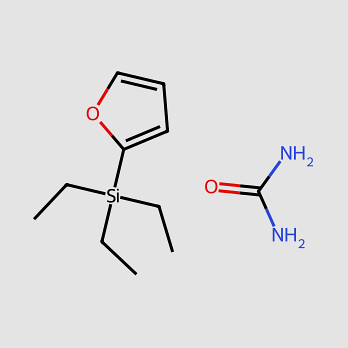 CC[Si](CC)(CC)c1ccco1.NC(N)=O